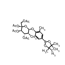 CC(=O)OC[C@]1(OC(C)=O)O[C@@H](Oc2ccc(B3OC(C)(C)C(C)(C)O3)cc2C)[C@@H](C)[C@H](OC(C)=O)[C@H]1OC(C)=O